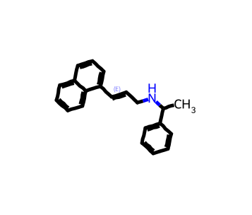 CC(NC/C=C/c1cccc2ccccc12)c1ccccc1